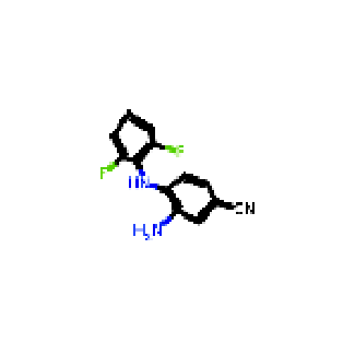 N#Cc1ccc(Nc2c(F)cccc2F)c(N)c1